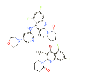 Cc1c(N2CCCCC2=O)nc2cc(F)cc(F)c2c1Br.Cc1c(N2CCCCC2=O)nc2cc(F)cc(F)c2c1Nc1cncc(N2CCOCC2)c1